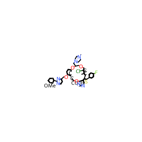 COc1ccccc1-c1nccc(COc2ccc3cc2CC(C(=O)O)Oc2ncnc4sc(-c5ccc(F)cc5)c(c24)-c2ccc(c(Cl)c2C)OCC(CN2CCN(C)CC2)O3)n1